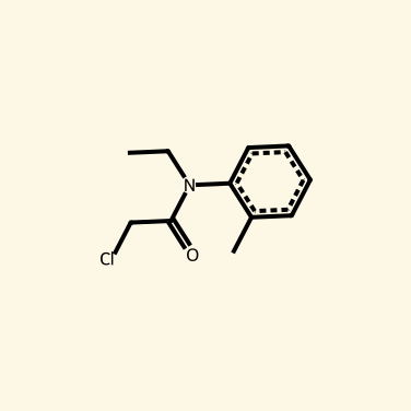 CCN(C(=O)CCl)c1ccccc1C